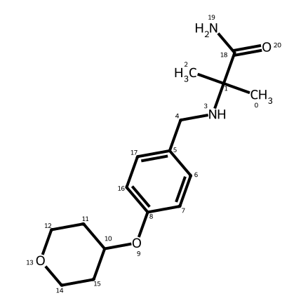 CC(C)(NCc1ccc(OC2CCOCC2)cc1)C(N)=O